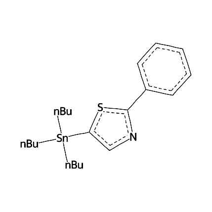 CCC[CH2][Sn]([CH2]CCC)([CH2]CCC)[c]1cnc(-c2ccccc2)s1